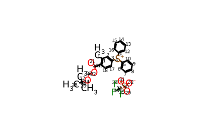 Cc1cc([S+](c2ccccc2)c2ccccc2)ccc1C(=O)OCOC(C)(C)C.O=S(=O)([O-])C(F)(F)F